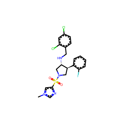 Cn1cnc(S(=O)(=O)N2C[C@H](NCc3ccc(Cl)cc3Cl)[C@@H](c3ccccc3F)C2)c1